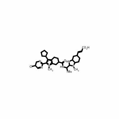 CCCCC(NC(=O)C1CCc2c(C3CCCC3)c(C3=NCC(Cl)C=N3)n(C)c2C1)C1NC2CC(/C=C/C(=O)O)CCC2N1C